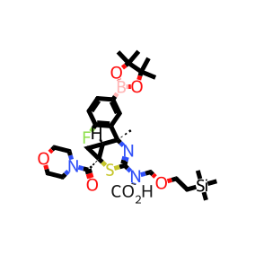 CC1(C)OB(c2ccc(F)c([C@@]3(C)N=C(N(COCC[Si](C)(C)C)C(=O)O)S[C@@]4(C(=O)N5CCOCC5)C[C@H]43)c2)OC1(C)C